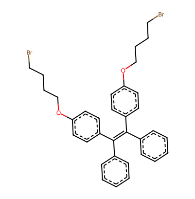 BrCCCCOc1ccc(C(=C(c2ccccc2)c2ccc(OCCCCBr)cc2)c2ccccc2)cc1